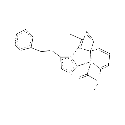 COC(=O)[N+]12C(C)=CC=CC13CC=CC(C)=C3n1c(SCc3ccccc3)cnc12